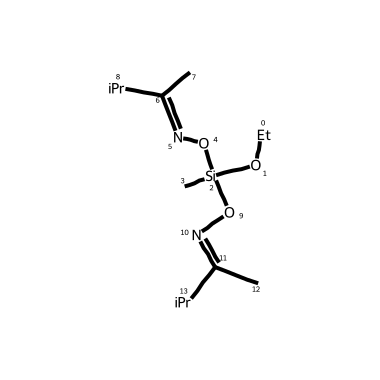 CCO[Si](C)(ON=C(C)C(C)C)ON=C(C)C(C)C